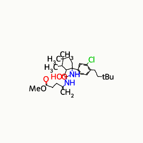 C=C(CCC(=O)OC)NC(=O)NC1(c2ccc(CCC(C)(C)C)c(Cl)c2)CCC(C)(C)C(C)C1CO